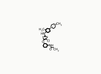 C=CC(=O)Nc1cccc(Oc2sc(Nc3ccc(N4CCN(C)CC4)cc3C)nc2Cl)c1